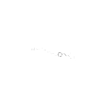 CCCCCCCCCCCCCCCCCCc1ccc(C=CC(N)=O)cc1